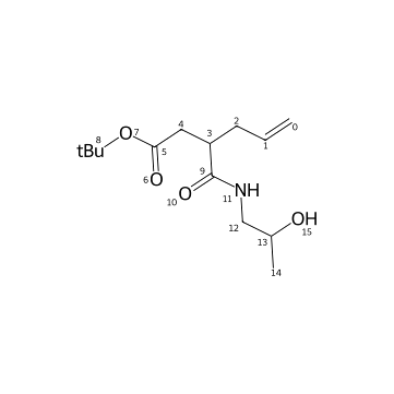 C=CCC(CC(=O)OC(C)(C)C)C(=O)NCC(C)O